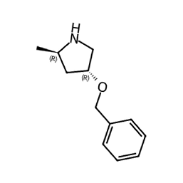 C[C@@H]1C[C@@H](OCc2ccccc2)CN1